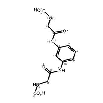 O=C(O)NCC(=O)Nc1cccc(NC(=O)CNC(=O)O)c1